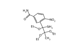 CCOC(C)(OCC)C([SiH3])(OCC)c1cc(C(N)=O)ccc1[N+](=O)[O-]